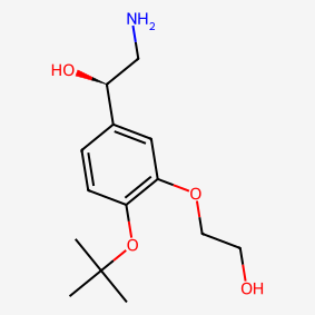 CC(C)(C)Oc1ccc([C@@H](O)CN)cc1OCCO